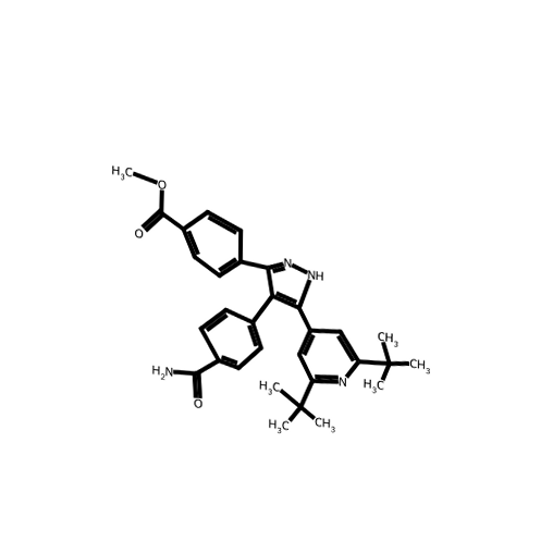 COC(=O)c1ccc(-c2n[nH]c(-c3cc(C(C)(C)C)nc(C(C)(C)C)c3)c2-c2ccc(C(N)=O)cc2)cc1